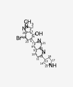 Cn1cc2c(O)c(-c3cc4ccc(C5CCNCC5)nc4cn3)cc(Br)c2n1